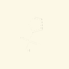 F.O=S(=O)(O)c1cccs1